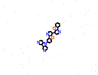 c1ccc2c(c1)oc1c(-c3ccnc4c3oc3ccc(-n5c6ccncc6c6cnccc65)cc34)ccnc12